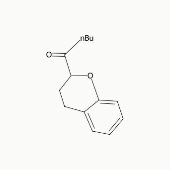 CCCCC(=O)C1CCc2ccccc2O1